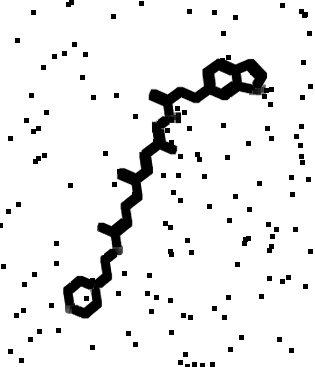 C=C(/C=C/C(C)=N/NC(=C)CCc1ccc2cc[nH]c2c1)CC/C=C(\C)OCCN1CCOCC1